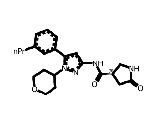 CCCc1cccc(-c2cc(NC(=O)[C@H]3CNC(=O)C3)nn2C2CCOCC2)c1